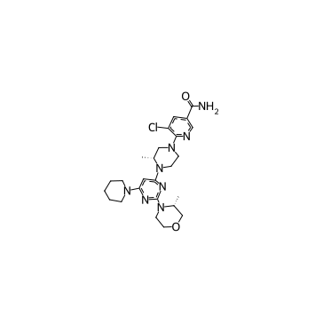 C[C@@H]1CN(c2ncc(C(N)=O)cc2Cl)CCN1c1cc(N2CCCCC2)nc(N2CCOC[C@H]2C)n1